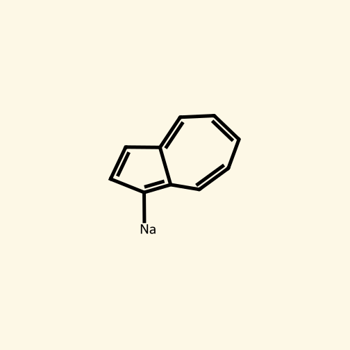 [Na][c]1ccc2cccccc1-2